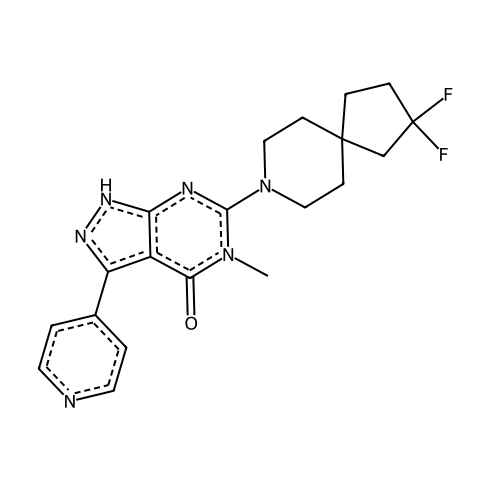 Cn1c(N2CCC3(CC2)CCC(F)(F)C3)nc2[nH]nc(-c3ccncc3)c2c1=O